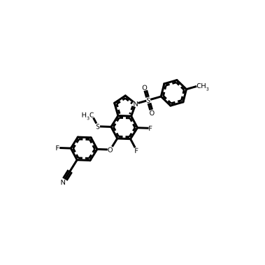 CSc1c(Oc2ccc(F)c(C#N)c2)c(F)c(F)c2c1ccn2S(=O)(=O)c1ccc(C)cc1